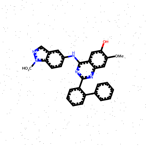 COc1cc2nc(-c3ccccc3-c3ccccc3)nc(Nc3ccc4c(cnn4C(=O)O)c3)c2cc1O